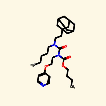 CCCCCN(CCC12CC3CC(CC(C3)C1)C2)C(=O)N(CCOc1ccncc1)C(=O)OCCCC